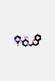 O=c1ncccn1[C@@H]1CCN(CC2CCc3ccccc3O2)C[C@@H]1O